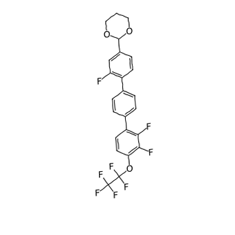 Fc1cc(C2OCCCO2)ccc1-c1ccc(-c2ccc(OC(F)(F)C(F)(F)F)c(F)c2F)cc1